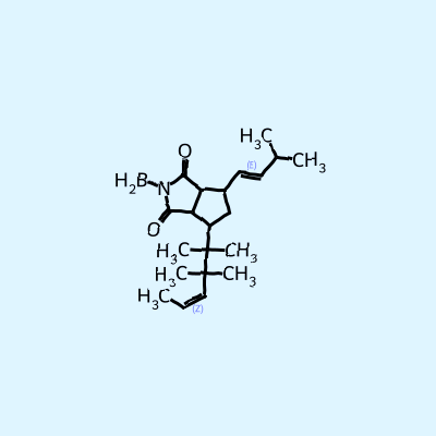 BN1C(=O)C2C(/C=C/C(C)C)CC(C(C)(C)C(C)(C)/C=C\C)C2C1=O